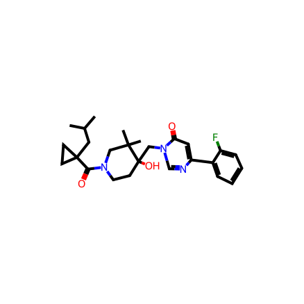 CC(C)CC1(C(=O)N2CCC(O)(Cn3cnc(-c4ccccc4F)cc3=O)C(C)(C)C2)CC1